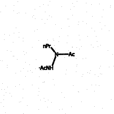 CCCN([N]C(C)=O)C(C)=O